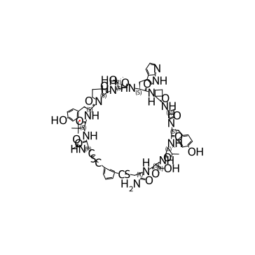 CC(=O)N[C@H]1CSCc2cccc(c2)CSC[C@@H](C(N)=O)NC(=O)[C@H]([C@@H](C)O)NC(=O)[C@](C)(C(C)C)NC(=O)[C@H](Cc2ccc(O)cc2)NC(=O)[C@H](C)NC(=O)C2(CCC2)NC(=O)[C@H](Cc2c[nH]c3ncccc23)NC(=O)[C@H]([C@@H](C)O)NC(=O)[C@@H]2CCCN2C(=O)[C@H](Cc2ccc(O)cc2)NC(=O)[C@H](C(C)(C)C)NC1=O